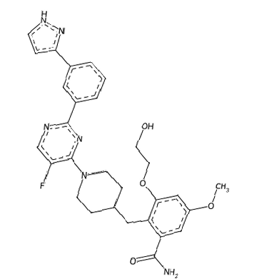 COc1cc(OCCO)c(CC2CCN(c3nc(-c4cccc(-c5cc[nH]n5)c4)ncc3F)CC2)c(C(N)=O)c1